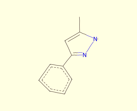 CC1=CC(c2ccccc2)=N[N]1